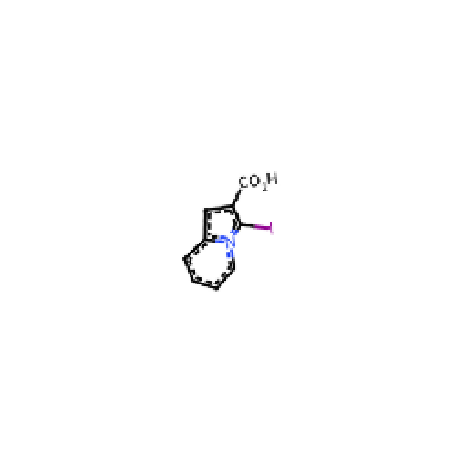 O=C(O)c1cc2ccccn2c1I